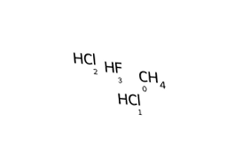 C.Cl.Cl.F